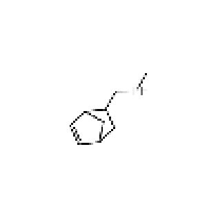 CPCC1CC2C=CC1C2